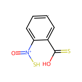 O=[N+](S)c1cc[c]cc1C(O)=S